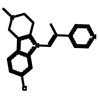 C/C(=C\n1c2c(c3ccc(Cl)cc31)CN(C)CC2)c1ccncc1